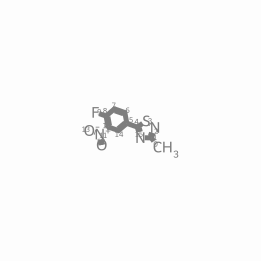 Cc1nsc(-c2ccc(F)c([N+](=O)[O-])c2)n1